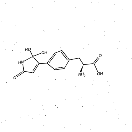 N[C@@H](Cc1ccc(C2=CC(=O)NS2(O)O)cc1)C(=O)O